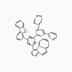 c1ccc(-c2cc(-c3ccccc3)cc(-c3nc(-c4cccc5c4oc4ccccc45)nc(-c4cccc5ccc6ccccc6c45)n3)c2)cc1